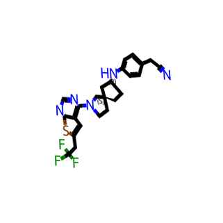 N#CCc1ccc(N[C@@H]2CC[C@]3(CCN(c4ncnc5sc(CC(F)(F)F)cc45)C3)C2)cc1